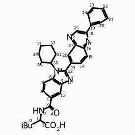 CCC(C)C(NC(=O)c1ccc2c(c1)nc(-c1ccc3nc(-c4ccccc4)cnc3c1)n2C1CCCCC1)C(=O)O